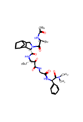 CCCC[C@H](NC(=O)[C@@H]1C2C3CCC(C3)C2CN1C(=O)[C@@H](NC(=O)OCC(C)C)C(C)(C)C)C(=O)C(=O)NCC(=O)NC(C(=O)N(C)C)c1ccccc1